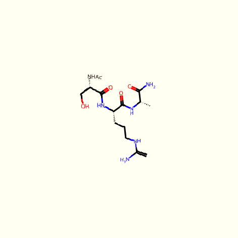 C=C(N)NCCC[C@H](NC(=O)[C@H](CO)NC(C)=O)C(=O)N[C@@H](C)C(N)=O